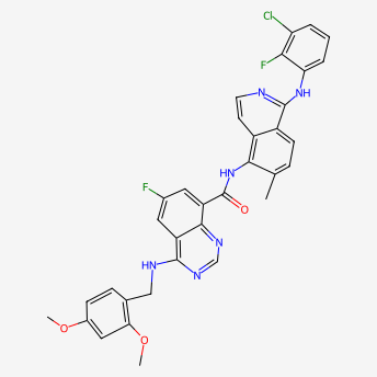 COc1ccc(CNc2ncnc3c(C(=O)Nc4c(C)ccc5c(Nc6cccc(Cl)c6F)nccc45)cc(F)cc23)c(OC)c1